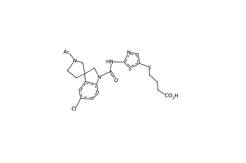 CC(=O)N1CCC2(C1)CN(C(=O)Nc1ncc(SCCCC(=O)O)s1)c1ccc(Cl)cc12